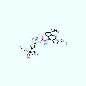 CC1CCc2c1nc1c(c2NC(=O)/N=S(\N)c2cc(C(C)(C)O)cs2)CCC1C